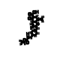 CC(C)(C)OC(=O)NCC1CCN(Cc2nc3c(cc2F)c(=O)c(C(=O)O)cn3C2CC2)CC1